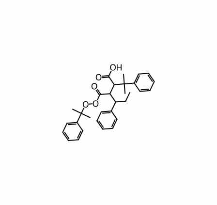 CCC(c1ccccc1)C(C(=O)OOC(C)(C)c1ccccc1)C(C(=O)O)C(C)(C)c1ccccc1